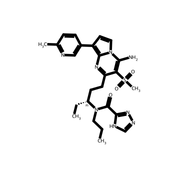 CCCN(C(=O)c1nnc[nH]1)[C@H](CC)CCc1nc2c(-c3ccc(C)nc3)ccn2c(N)c1S(C)(=O)=O